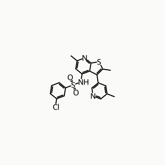 Cc1cncc(-c2c(C)sc3nc(C)cc(NS(=O)(=O)c4cccc(Cl)c4)c23)c1